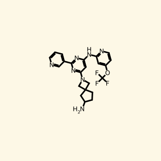 NC1CCC2(C1)CN(c1cc(Nc3cc(OC(F)(F)F)ccn3)nc(-c3cccnc3)n1)C2